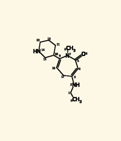 CCNC1=CC(=O)N(C)C(C2CCCNC2)=CC1